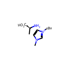 CCCC[n+]1ccn(C)c1.C[C@H](N)C(=O)O